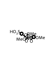 COC(=O)N[C@](C#Cc1ccc(S(=O)(=O)O)cc1)(CN1Cc2ccc(OC)cc2C1=O)C(=O)OC